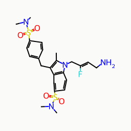 Cc1c(Cc2ccc(S(=O)(=O)N(C)C)cc2)c2cc(S(=O)(=O)N(C)C)ccc2n1CC(F)=CCN